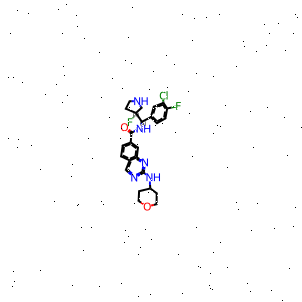 O=C(N[C@@H](c1ccc(F)c(Cl)c1)[C@@]1(F)CCNC1)c1ccc2cnc(NC3CCOCC3)nc2c1